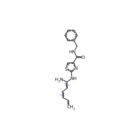 C=C/C=C\C=C(/N)Nc1nc(C(=O)NCc2ccccc2)cs1